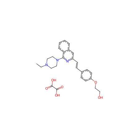 CCN1CCN(c2nc(/C=C/c3ccc(OCCO)cc3)cc3ccccc23)CC1.O=C(O)C(=O)O